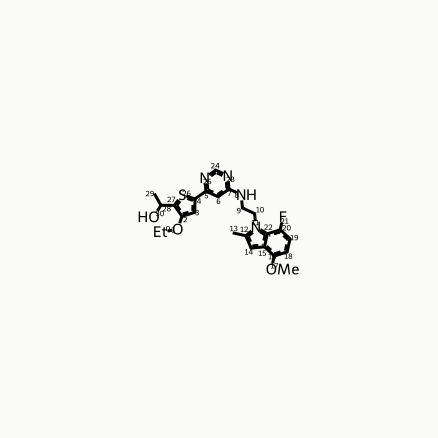 CCOc1cc(-c2cc(NCCn3c(C)cc4c(OC)ccc(F)c43)ncn2)sc1C(C)O